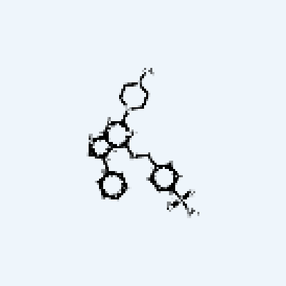 CN1CCN(c2nc(NCc3ccc(S(N)(=O)=O)cc3)c3c(-c4ccccc4)csc3n2)CC1